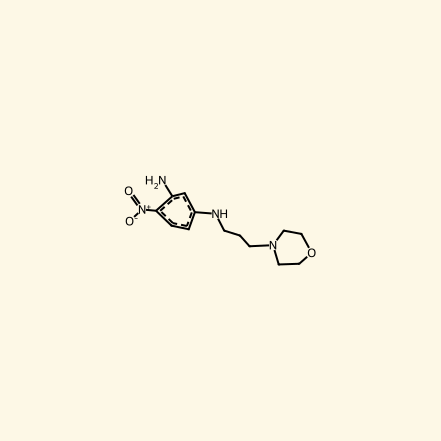 Nc1cc(NCCCN2CCOCC2)ccc1[N+](=O)[O-]